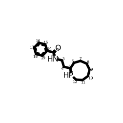 O=C(NCCC1CCCCCCCP1)c1ccccc1